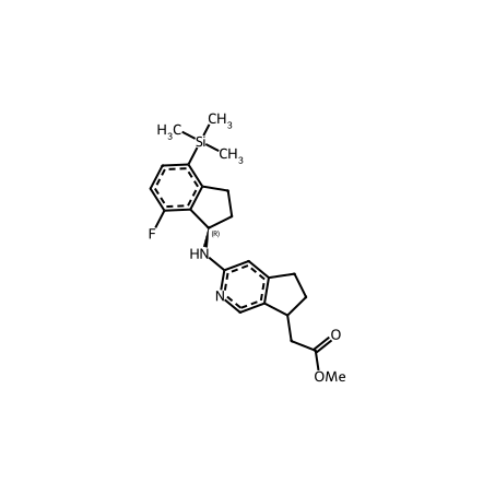 COC(=O)CC1CCc2cc(N[C@@H]3CCc4c([Si](C)(C)C)ccc(F)c43)ncc21